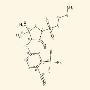 CCCCS(=O)(=O)N1CC(C)(C)C(Oc2ccc(C#N)c(C(F)(F)F)c2)C1=O